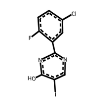 Oc1nc(-c2cc(Cl)ccc2F)ncc1I